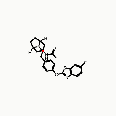 CC(=O)N[C@@H]1C[C@H]2CC[C@@H](C1)N2CCc1ccc(Oc2nc3ccc(Cl)cc3s2)cc1